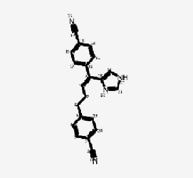 N#Cc1ccc(CCC=C(c2ccc(C#N)cc2)c2c[nH]cn2)cc1